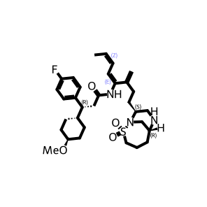 C=C(CC[C@H]1CN[C@@H]2CCCS(=O)(=O)N1C2)/C(=C\C=C/C)NC(=O)C[C@@H](c1ccc(F)cc1)[C@H]1CC[C@H](OC)CC1